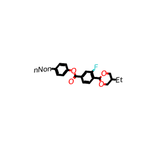 CCCCCCCCCc1ccc(OC(=O)c2ccc(C3OCC(CC)CO3)c(F)c2)cc1